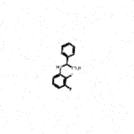 O=C(O)C(Nc1cccc(F)c1F)c1ccccc1